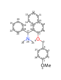 COc1ccc(COc2ccc3ccccc3c2C(c2ccccc2)N(C)C)cc1